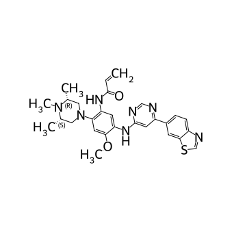 C=CC(=O)Nc1cc(Nc2cc(-c3ccc4ncsc4c3)ncn2)c(OC)cc1N1C[C@@H](C)N(C)[C@@H](C)C1